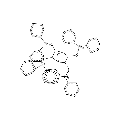 c1ccc([PH2](OC2C3CC(C2O[PH2](c2ccccc2)c2ccccc2)C(O[PH2](c2ccccc2)c2ccccc2)C3O[PH2](c2ccccc2)c2ccccc2)c2ccccc2)cc1